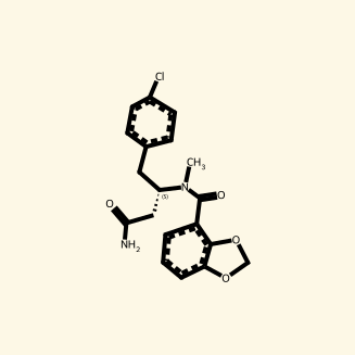 CN(C(=O)c1cccc2c1OCO2)[C@H](CC(N)=O)Cc1ccc(Cl)cc1